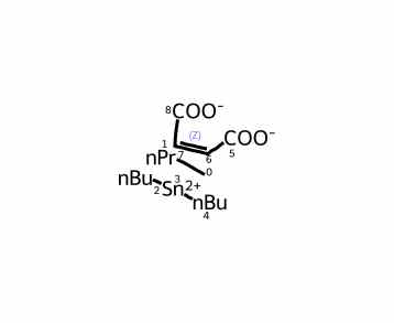 CCCC.CCC[CH2][Sn+2][CH2]CCC.O=C([O-])/C=C\C(=O)[O-]